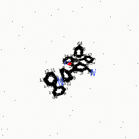 N#Cc1cc(-c2ccc(-n3c4ccccc4c4ccccc43)cc2)c(C#N)c([Si](c2ccccc2)(c2ccccc2)c2ccccc2)c1